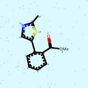 COC(=O)c1ccccc1-c1cnc(C)s1